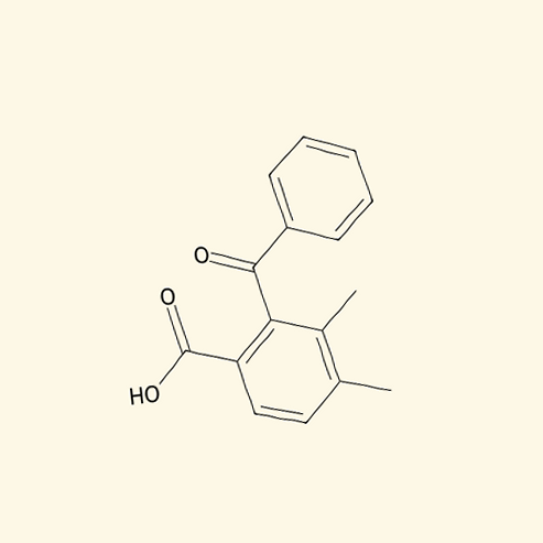 Cc1ccc(C(=O)O)c(C(=O)c2ccccc2)c1C